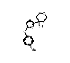 CC(C)(C)c1ccc(Sc2ccc(C3(O)CCOCC3)s2)cc1